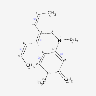 BN(CC(/C=C\C)=C/C=C\C)C(/C=C\CC)=C/C=C